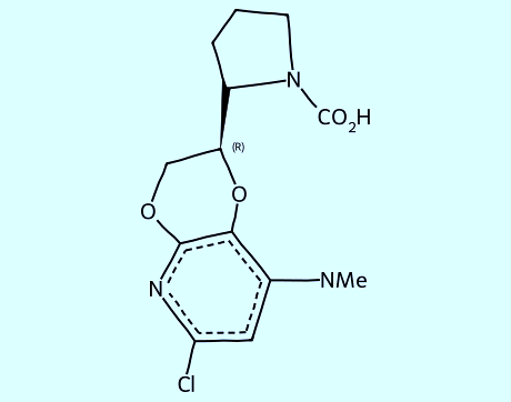 CNc1cc(Cl)nc2c1O[C@H](C1CCCN1C(=O)O)CO2